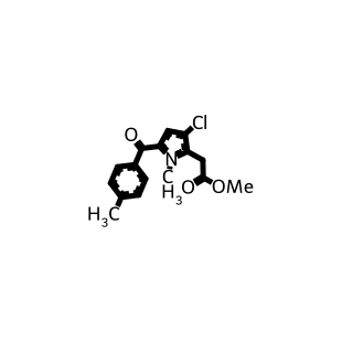 COC(=O)Cc1c(Cl)cc(C(=O)c2ccc(C)cc2)n1C